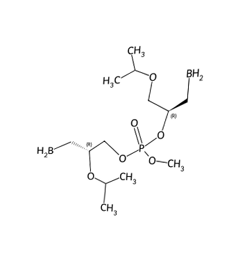 BC[C@H](COP(=O)(OC)O[C@H](CB)COC(C)C)OC(C)C